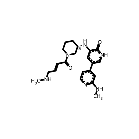 CNCC=CC(=O)N1CCC[C@H](Nc2cc(-c3ccnc(NC)c3)c[nH]c2=O)C1